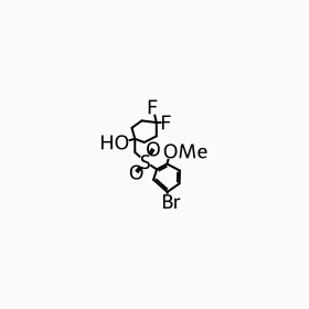 COc1ccc(Br)cc1S(=O)(=O)CC1(O)CCC(F)(F)CC1